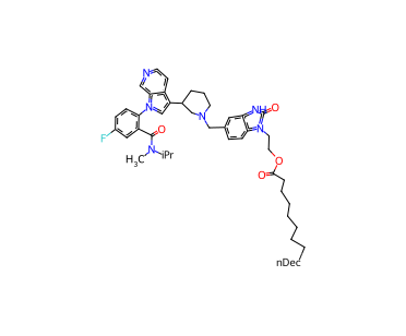 CCCCCCCCCCCCCCCCCC(=O)OCCn1c(=O)[nH]c2cc(CN3CCCC(c4cn(-c5ccc(F)cc5C(=O)N(C)C(C)C)c5cnccc45)C3)ccc21